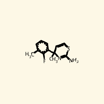 Cc1cccc(C2(C)C=CSC(N)=N2)c1F